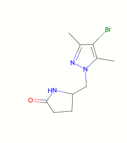 Cc1nn(CC2CCC(=O)N2)c(C)c1Br